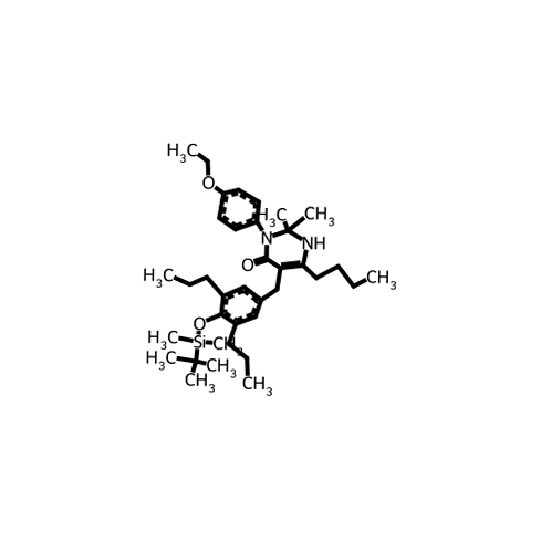 CCCCC1=C(Cc2cc(CCC)c(O[Si](C)(C)C(C)(C)C)c(CCC)c2)C(=O)N(c2ccc(OCC)cc2)C(C)(C)N1